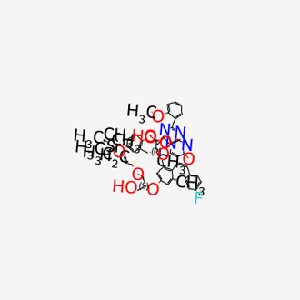 C=CCOC[C@H](CO)Oc1cc(C)c(-c2c(-c3ccc(F)cc3)oc3ncnc(O[C@H](Cc4cc(O[Si](C)(C)C(C)(C)C)ccc4OCc4ccnc(-c5ccccc5OC)n4)C(=O)O)c23)c(C)c1